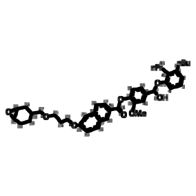 CCCCc1cccc(OC(O)c2ccc(OC(=O)c3ccc4cc(OCCCOCC5CCC6OC6C5)ccc4c3)c(OC)c2)c1CCC